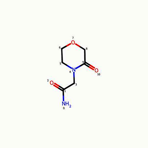 NC(=O)CN1CCOCC1=O